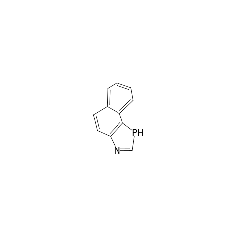 c1ccc2c(c1)ccc1nc[pH]c12